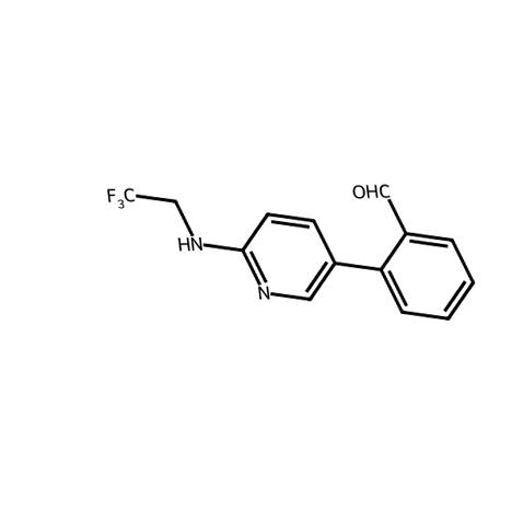 O=Cc1ccccc1-c1ccc(NCC(F)(F)F)nc1